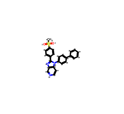 CS(=O)(=O)c1ccc(-c2nc3cnccc3n2-c2ccc(-c3ccccc3)cc2)cc1